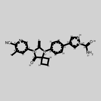 C=C1N(c2cnc(C#N)c(C)c2)C(=O)C2(CCC2)N1c1ccc(-c2cnn(C(N)=O)c2)cc1